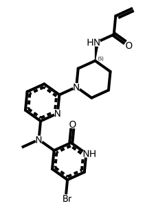 C=CC(=O)N[C@H]1CCCN(c2cccc(N(C)c3cc(Br)c[nH]c3=O)n2)C1